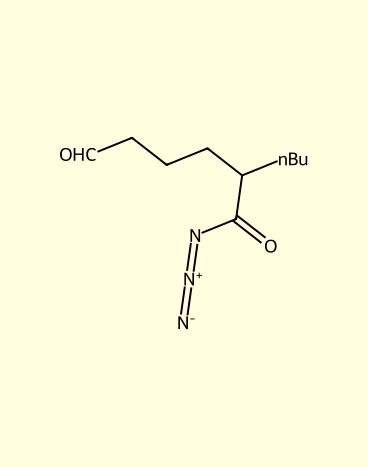 CCCCC(CCCC=O)C(=O)N=[N+]=[N-]